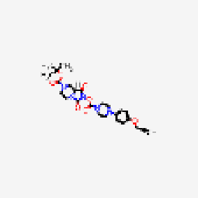 C#CCOc1ccc(N2CCN(C(=O)ON3C(=O)[C@@H]4CN(C(=O)OC(C)(C)C)CCN4C3=O)CC2)cc1